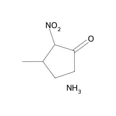 CC1CCC(=O)C1[N+](=O)[O-].N